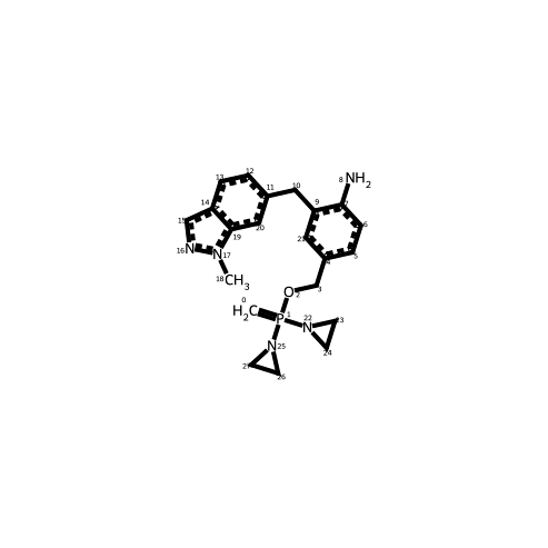 C=P(OCc1ccc(N)c(Cc2ccc3cnn(C)c3c2)c1)(N1CC1)N1CC1